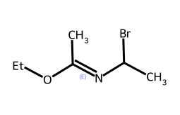 CCO/C(C)=N/C(C)Br